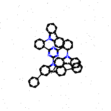 Cc1ccc2c(c1)c1ccccc1n2-c1ccccc1-c1nc(-c2ccccc2-n2c3ccccc3c3ccccc32)nc(-n2c3ccc(-c4ccccc4)cc3c3ccc(-c4ccccc4)cc32)n1